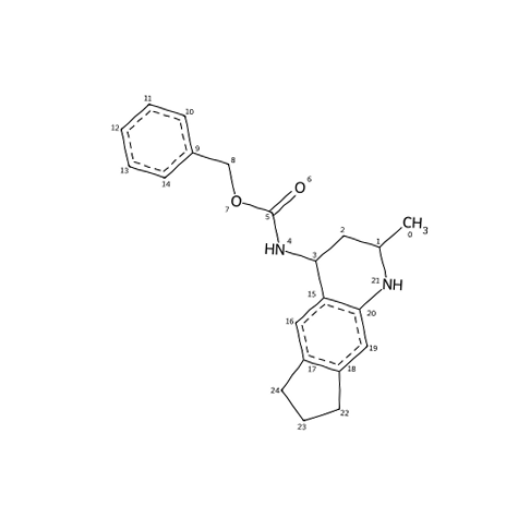 CC1CC(NC(=O)OCc2ccccc2)c2cc3c(cc2N1)CCC3